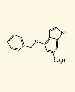 O=C(O)c1cc(OCc2ccccc2)c2cc[nH]c2c1